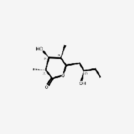 CC[C@@H](O)CC1OC(=O)[C@H](C)[C@@H](O)[C@H]1C